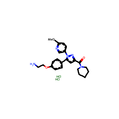 COc1ccc(-n2nc(C(=O)N3CCCCC3)cc2-c2ccc(OCCN)cc2)cn1.Cl.Cl